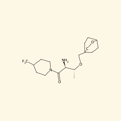 C[C@@H](OCC12CCC(CC1)OC2)[C@H](N)C(=O)N1CCC(C(F)(F)F)CC1